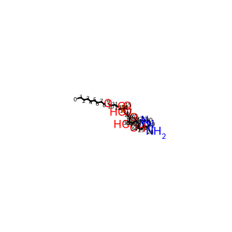 CCCCCCCCCOCCCOP(=O)(O)OC[C@H]1O[C@@](C)(c2ccc3c(N)ncnn23)[C@H](O)[C@@H]1O